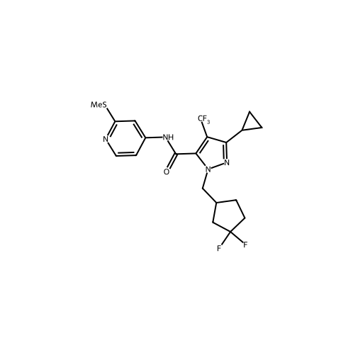 CSc1cc(NC(=O)c2c(C(F)(F)F)c(C3CC3)nn2CC2CCC(F)(F)C2)ccn1